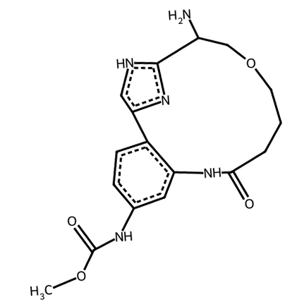 COC(=O)Nc1ccc2c(c1)NC(=O)CCCOCC(N)c1nc-2c[nH]1